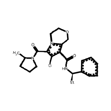 CC[C@@H](NC(=O)c1c(Cl)c(C(=O)N2CCCC2C)n2c1COCC2)c1ccccc1